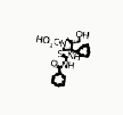 O=C(NC(=S)N[C@@]1(c2ccccc2)CN(C(=O)O)C[C@H]1CO)c1ccccc1